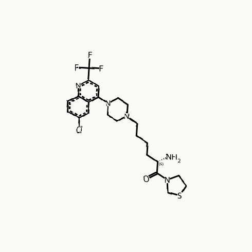 N[C@@H](CCCCN1CCN(c2cc(C(F)(F)F)nc3ccc(Cl)cc23)CC1)C(=O)N1CCSC1